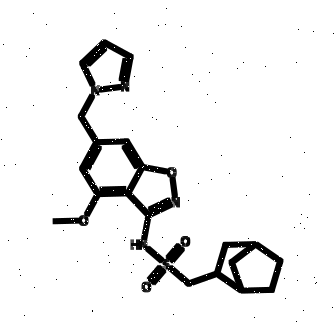 COc1cc(Cn2cccn2)cc2onc(NS(=O)(=O)CC3CC4CCC3C4)c12